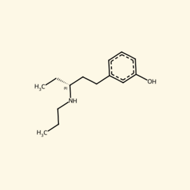 CCCN[C@H](CC)CCc1cccc(O)c1